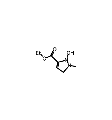 CCOC(=O)C1=CCN(C)N1O